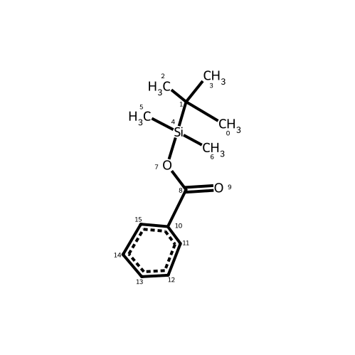 CC(C)(C)[Si](C)(C)OC(=O)c1ccccc1